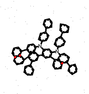 c1ccc(-c2ccc(N(c3ccc(-c4ccccc4)cc3)c3cc(N(c4ccc(-c5ccccc5)cc4)c4ccc(-c5ccccc5)cc4)c(-c4ccc(-c5ccccc5)c(-c5ccccc5)c4)cc3-c3ccccc3)cc2)cc1